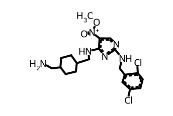 CO[N+](=O)c1cnc(NCc2cc(Cl)ccc2Cl)nc1NCC1CCC(CN)CC1